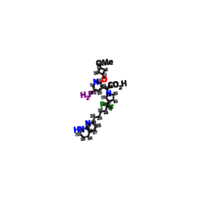 CO[C@H]1C[C@@H](Oc2ncc(P)cc2C(C(=O)O)N2CCC(C(F)(F)CCCCc3ccc4c(n3)NCCC4)C2)C1